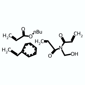 C=CC(=O)N(CO)C(=O)C=C.C=CC(=O)OCCCC.C=Cc1ccccc1